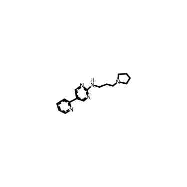 c1ccc(-c2cnc(NCCCN3CCCC3)nc2)nc1